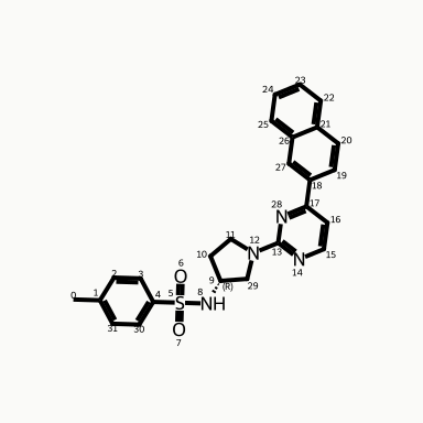 Cc1ccc(S(=O)(=O)N[C@@H]2CCN(c3nccc(-c4ccc5ccccc5c4)n3)C2)cc1